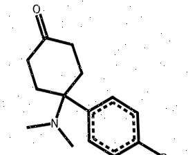 CN(C)C1(c2ccc(Br)cc2)CCC(=O)CC1